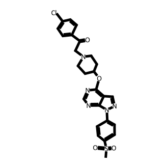 CS(=O)(=O)c1ccc(-n2ncc3c(OC4CCN(CC(=O)c5ccc(Cl)cc5)CC4)ncnc32)cc1